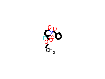 C=CCOC(=O)C1(F)CCC(=O)N(C(=O)c2ccccc2)C1=O